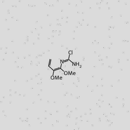 C=C/C(OC)=C(\N=C(/N)Cl)OC